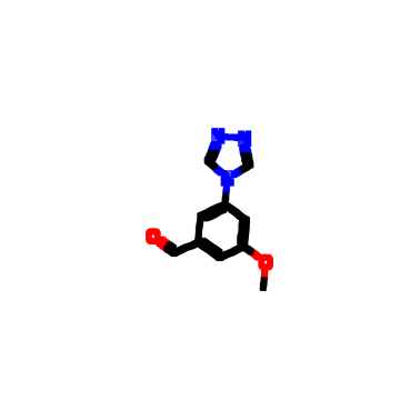 COc1cc(C=O)cc(-n2cnnc2)c1